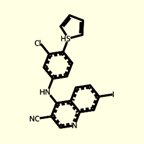 N#Cc1cnc2cc(I)ccc2c1Nc1ccc([SH]2C=CC=C2)c(Cl)c1